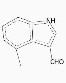 Cc1cccc2[nH]cc(C=O)c12